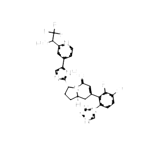 O=C1C=C(c2c(-n3cnnn3)ccc(Cl)c2F)C[C@@H]2CC[C@@H](c3ncc(-c4ccnc(C(O)C(F)(F)F)c4)[nH]3)N12